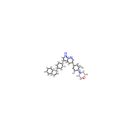 Cc1cc(-c2cnc3[nH]cc(-c4ccc(C5C=Cc6ccccc65)cc4)c3c2)cc(C)c1N1CCOCC1